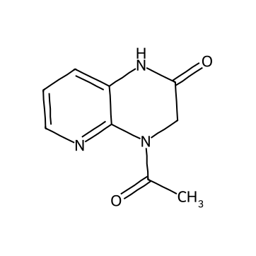 CC(=O)N1CC(=O)Nc2cccnc21